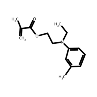 C=C(C)C(=O)OCCN(CC)c1cccc(C)c1